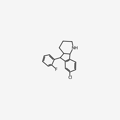 Fc1ccccc1C1c2cc(Cl)ccc2C2NCCCC21